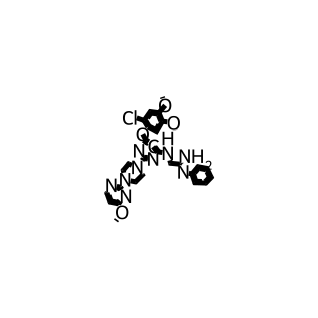 COc1ccnc(N2CCN(c3nc(NC/C(N)=N/c4ccccc4)cc(Oc4cc(OC)c(OC)cc4Cl)n3)CC2)n1